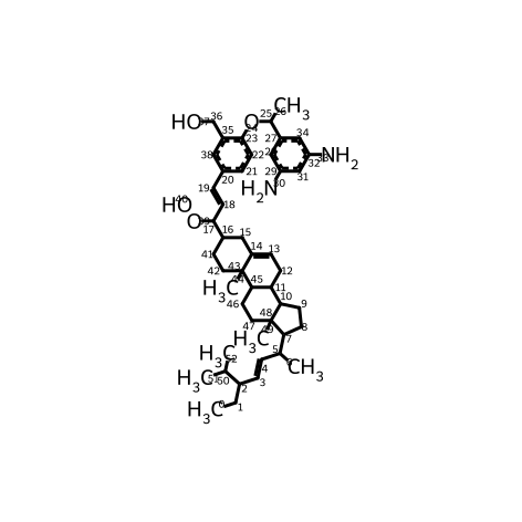 CCC(/C=C/C(C)C1CCC2C3CC=C4CC(C(/C=C/c5ccc(OC(C)c6cc(N)cc(N)c6)c(CO)c5)OO)CCC4(C)C3CCC12C)C(C)C